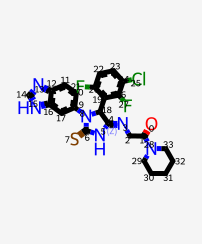 O=C(C/N=C1\NC(=S)N(c2ccc3nc[nH]c3c2)C1c1c(F)ccc(Cl)c1F)N1CCCCC1